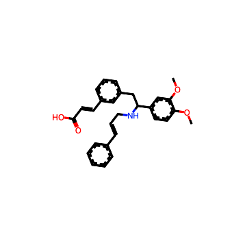 COc1ccc(C(Cc2cccc(C=CC(=O)O)c2)NCC=Cc2ccccc2)cc1OC